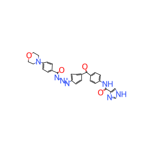 O=C(N=[N+]=Nc1ccc(C(=O)c2ccc(NC(=O)c3c[nH]cn3)cc2)cc1)c1ccc(N2CCOCC2)cc1